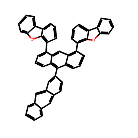 c1ccc2cc3cc(-c4c5cccc(-c6cccc7c6oc6ccccc67)c5cc5c(-c6cccc7c6oc6ccccc67)cccc45)ccc3cc2c1